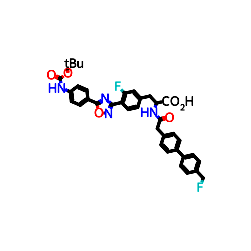 CC(C)(C)OC(=O)Nc1ccc(-c2nc(-c3ccc(CC(NC(=O)Cc4ccc(-c5ccc(CF)cc5)cc4)C(=O)O)cc3F)no2)cc1